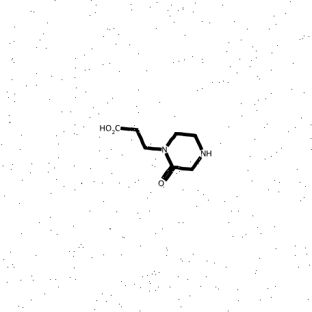 O=C(O)CCN1CCNCC1=O